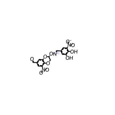 O=Cc1cc2c(c([N+](=O)[O-])c1)OCC(O/N=C/c1cc(O)c(O)c([N+](=O)[O-])c1)O2